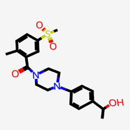 Cc1ccc(S(C)(=O)=O)cc1C(=O)N1CCN(c2ccc(C(C)O)cc2)CC1